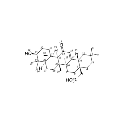 CC1(C)CC[C@]2(CC(=O)O)CC[C@]3(C)C(=CC(=O)[C@@H]4[C@@]5(C)CC[C@H](O)C(C)(C)[C@@H]5CC[C@]43C)[C@@H]2C1